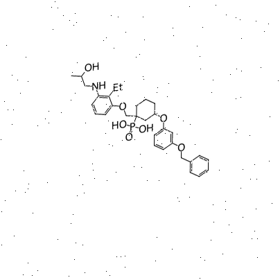 CCc1c(NCC(C)O)cccc1OCC1(P(=O)(O)O)CCCC(Oc2cccc(OCc3ccccc3)c2)C1